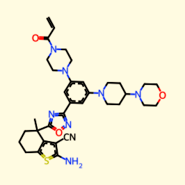 C=CC(=O)N1CCN(c2cc(-c3noc(C4(C)CCCc5sc(N)c(C#N)c54)n3)cc(N3CCC(N4CCOCC4)CC3)c2)CC1